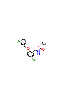 CC(C)(C)OC(=O)NCc1cc(Br)ccc1OCc1cccc(F)c1